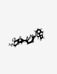 O=C1NCc2cc(-c3ccc(NCC4(c5ncccc5F)CCC4)nn3)sc21